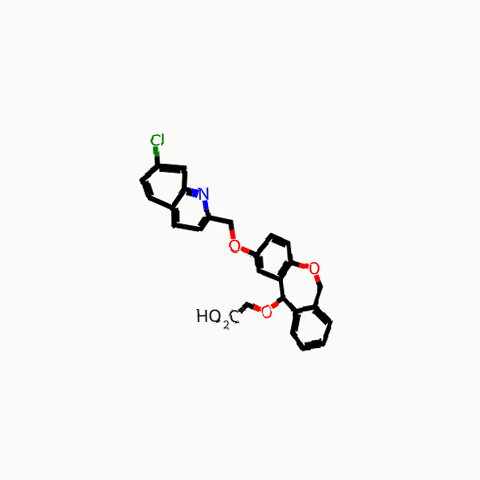 O=C(O)COC1c2ccccc2COc2ccc(OCc3ccc4ccc(Cl)cc4n3)cc21